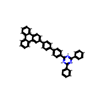 c1ccc(-c2nc(-c3ccccc3)nc(-c3ccc(-c4ccc(-c5ccc6c7ccccc7c7ccccc7c6c5)cc4)cc3)n2)cc1